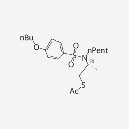 CCCCCN([C@H](C)CSC(C)=O)S(=O)(=O)c1ccc(OCCCC)cc1